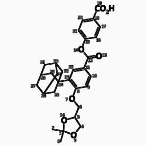 CC1(C)OCC(COc2ccc(C(=O)Oc3ccc(C(=O)O)cc3)cc2C23CC4CC(CC(C4)C2)C3)O1